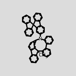 CC12c3ccccc3-c3ccccc3N(c3ccc4c(c3)C3(c5ccccc5-c5ccccc53)c3ccccc3-4)c3ccc(c1c3)-c1ccccc12